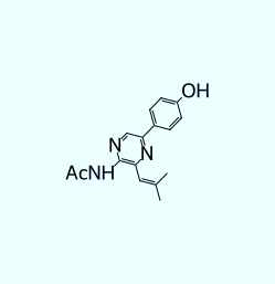 CC(=O)Nc1ncc(-c2ccc(O)cc2)nc1C=C(C)C